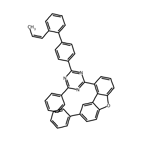 C/C=C\c1ccccc1-c1ccc(-c2nc(-c3ccccc3)nc(-c3cccc4oc5ccc(-c6ccccc6)cc5c34)n2)cc1